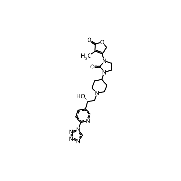 CC1=C(N2CCN(C3CCN(C[C@@H](O)c4ccc(-n5cnnn5)nc4)CC3)C2=O)COC1=O